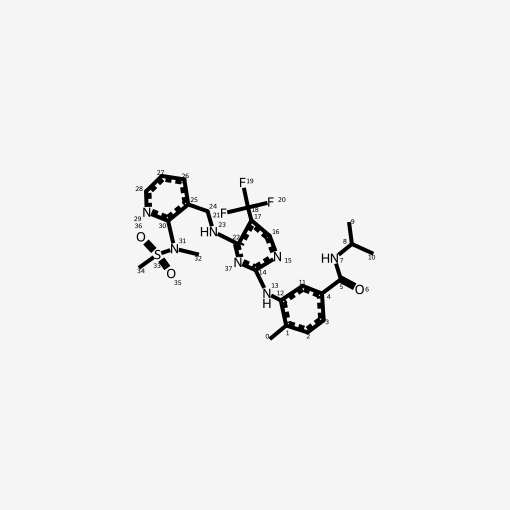 Cc1ccc(C(=O)NC(C)C)cc1Nc1ncc(C(F)(F)F)c(NCc2cccnc2N(C)S(C)(=O)=O)n1